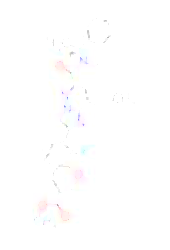 CCc1cc(C(=O)N2CCc3ccccc3[C@H]2C)nn2cc(-c3ccc4c(c3F)OCC(C(=O)OC)=C4)nc12